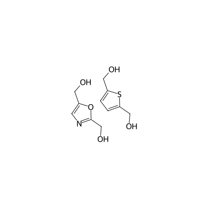 OCc1ccc(CO)s1.OCc1cnc(CO)o1